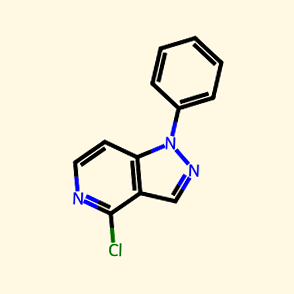 Clc1nccc2c1cnn2-c1ccccc1